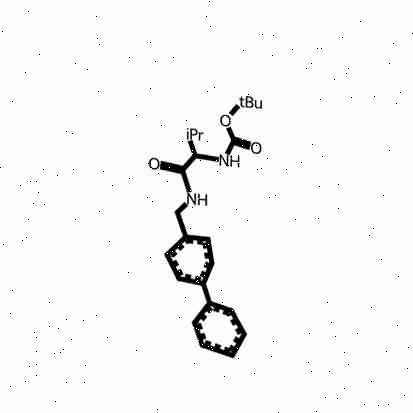 CC(C)C(NC(=O)OC(C)(C)C)C(=O)NCc1ccc(-c2ccccc2)cc1